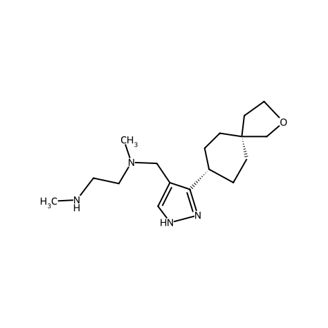 CNCCN(C)Cc1c[nH]nc1[C@H]1CC[C@@]2(CCOC2)CC1